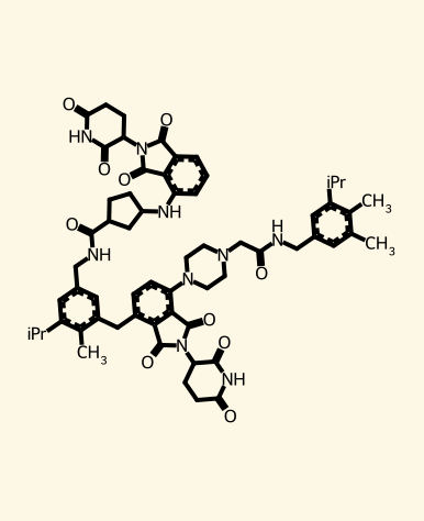 Cc1cc(CNC(=O)CN2CCN(c3ccc(Cc4cc(CNC(=O)C5CCC(Nc6cccc7c6C(=O)N(C6CCC(=O)NC6=O)C7=O)C5)cc(C(C)C)c4C)c4c3C(=O)N(C3CCC(=O)NC3=O)C4=O)CC2)cc(C(C)C)c1C